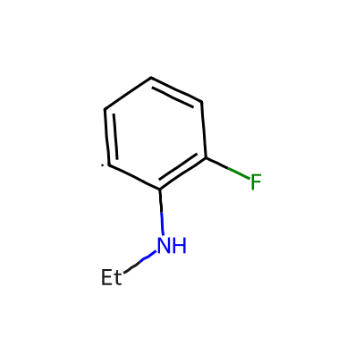 CCNc1[c]cccc1F